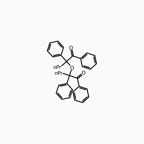 CCCC(OC(CCC)(C(=O)c1ccccc1)c1ccccc1)(C(=O)c1ccccc1)c1ccccc1